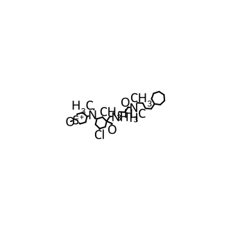 CCN(C1CC[S+]([O-])CC1)C1CC(Cl)CC(C=O)(CNCCC(=O)NC(C)CC(C)CC2CCCCCC2)C1C